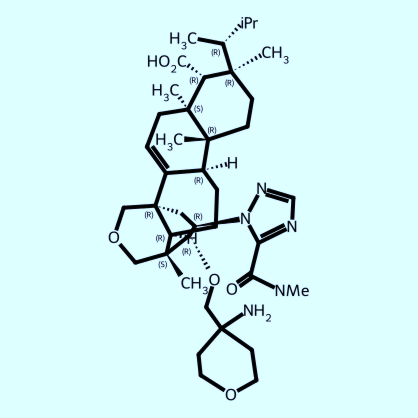 CNC(=O)c1ncnn1[C@@H]1C[C@@]23COC[C@](C)([C@@H]2CC[C@H]2C3=CC[C@@]3(C)[C@H](C(=O)O)[C@@](C)([C@H](C)C(C)C)CC[C@]23C)[C@H]1OCC1(N)CCOCC1